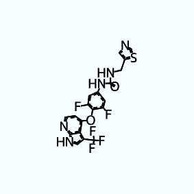 O=C(NCc1cncs1)Nc1cc(F)c(Oc2ccnc3[nH]cc(C(F)(F)F)c23)c(F)c1